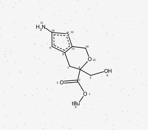 CC(C)(C)OC(=O)C1(CO)Cc2cc(N)sc2CO1